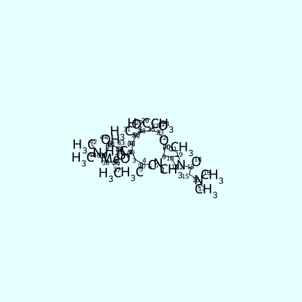 CO[C@]1(C)C[C@@H](C)CN(C)C(C2CN(C(=O)CN(C)C)C2)[C@@H](C)OC(=O)C(C)(C)C(=O)[C@H](C)[C@H]1C[C@@H]1O[C@H](C)C[C@H](N(C)C)[C@H]1O